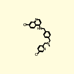 CN(Cc1ccc(CNc2ccnc3cc(Cl)ccc23)cc1)Cc1ccc(Cl)cn1